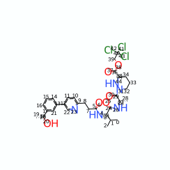 CC(C)[C@H](NC(=O)CCc1ccc(-c2cccc([C@@H](C)O)c2)cn1)C(=O)N[C@@H](C)C(=O)N1CCC[C@@H](C(=O)OCC(Cl)(Cl)Cl)N1